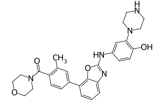 Cc1cc(-c2cccc3nc(Nc4ccc(O)c(N5CCNCC5)c4)oc23)ccc1C(=O)N1CCOCC1